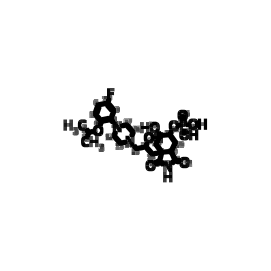 CC(C)Oc1ccc(F)cc1N1CCN(CC(O)CC23CC(O)C(OP(=O)(O)O)CC2C(=O)NC3=O)CC1